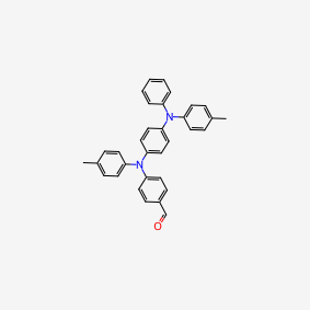 Cc1ccc(N(c2ccccc2)c2ccc(N(c3ccc(C)cc3)c3ccc(C=O)cc3)cc2)cc1